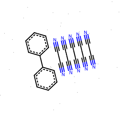 N#CC#N.N#CC#N.N#CC#N.N#CC#N.N#CC#N.c1ccc(-c2ccccc2)cc1